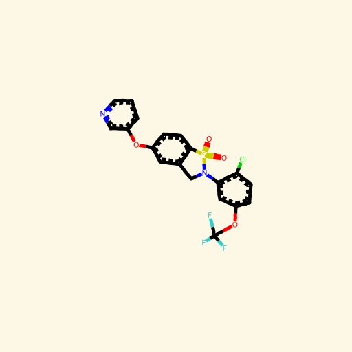 O=S1(=O)c2ccc(Oc3cccnc3)cc2CN1c1cc(OC(F)(F)F)ccc1Cl